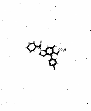 Cc1ccc(-c2c(CC(=O)O)c(C)cc3c2CCN3C(=O)C2CCCCC2)cc1